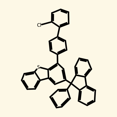 Clc1ccccc1-c1ccc(-c2cc(C3(c4ccccc4)c4ccccc4-c4ccccc43)cc3c2sc2ccccc23)cc1